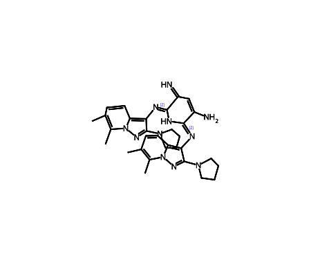 Cc1ccc2c(/N=C3\N/C(=N\c4c(N5CCCC5)nn5c(C)c(C)ccc45)C(N)=CC3=N)c(N3CCCC3)nn2c1C